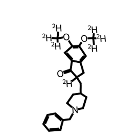 [2H]C([2H])([2H])Oc1cc2c(cc1OC([2H])([2H])[2H])C(=O)C([2H])(CC1CCN(Cc3ccccc3)CC1)C2